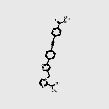 CNC(=O)c1ccc(C#Cc2ccc(-c3cc(Cn4ccnc4[C@H](C)O)no3)cc2)cc1